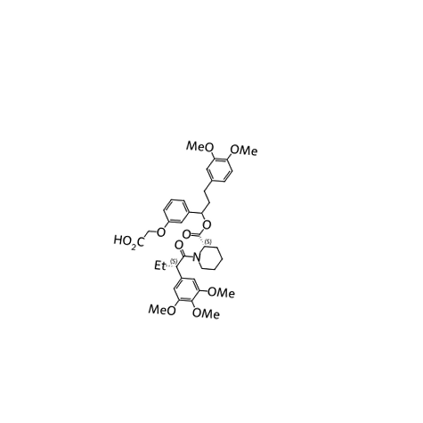 CC[C@H](C(=O)N1CCCC[C@H]1C(=O)OC(CCc1ccc(OC)c(OC)c1)c1cccc(OCC(=O)O)c1)c1cc(OC)c(OC)c(OC)c1